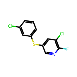 Fc1ncc(Sc2cccc(Cl)c2)cc1Cl